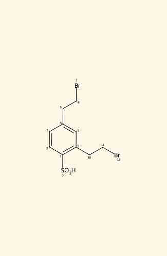 O=S(=O)(O)c1ccc(CCBr)cc1CCBr